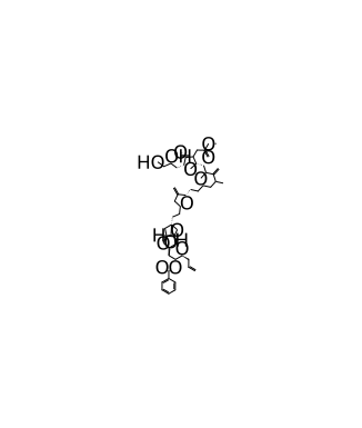 C=CC[C@@H]1O[C@@H]2C3O[C@@H]4C[C@](CCC5CC(=C)[C@H](CCC6CC(C)C(=C)C(C[C@@H]7O[C@H](CC(O)CO)[C@H](OC)C7CC(=O)OC)O6)O5)(OC3C1OC(=O)c1ccccc1)OC24